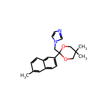 Cc1ccc2cc(C3(Cn4ccnc4)OCC(C)(C)CO3)ccc2c1